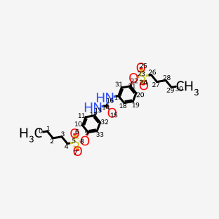 CCCCCS(=O)(=O)Oc1ccc(NC(=O)Nc2cccc(OS(=O)(=O)CCCCC)c2)cc1